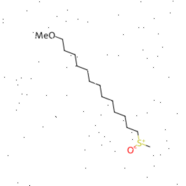 COCCCCCCCCCCCCC[S+](C)[O-]